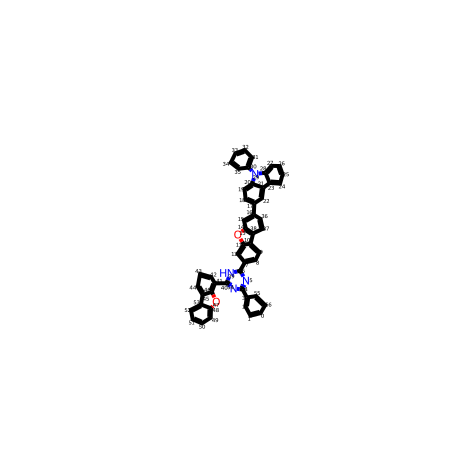 c1ccc(C2=NC(c3ccc4c(c3)oc3cc(-c5ccc6c(c5)c5ccccc5n6-c5ccccc5)ccc34)NC(c3cccc4c3oc3ccccc34)=N2)cc1